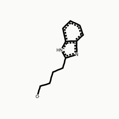 [O]CCCCc1nc2ccccc2[nH]1